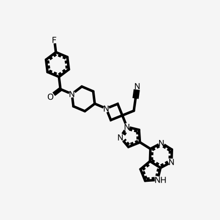 N#CCC1(n2cc(-c3ncnc4[nH]ccc34)cn2)CN(C2CCN(C(=O)c3ccc(F)cc3)CC2)C1